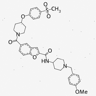 COc1ccc(CN2CCC(NC(=O)c3cc4cc(C(=O)N5CCC(Oc6ccc(S(C)(=O)=O)cc6)CC5)ccc4o3)CC2)cc1